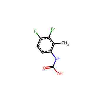 Cc1c(NC(=O)O)ccc(F)c1Br